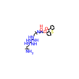 CC(C)(N)CCNC(=N)NC(=N)NCCC(C)(C)NCC(O)COc1cccc2sc3ccccc3c(=O)c12